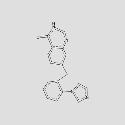 O=c1[nH]cnc2cc(Cc3ccccc3-n3ccnc3)ccc12